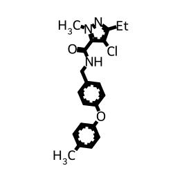 CCc1nn(C)c(C(=O)NCc2ccc(Oc3ccc(C)cc3)cc2)c1Cl